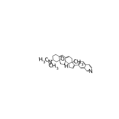 CN(C)[C@H]1CCC2=CC3=CC[C@]4(C)C(c5ccc6ccncc6c5)=CC[C@H]4[C@@]34CC[C@]2(C1)O4